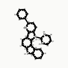 c1ccc(-c2ccc3c(n2)c2ccc4sc5ccccc5c4c2n3-c2ncccn2)cc1